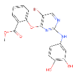 COC(=O)c1ccccc1Oc1nc(Nc2ccc(O)c(O)c2)ncc1Br